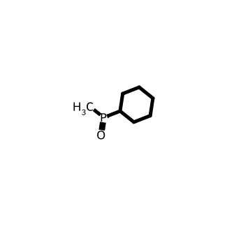 C[P](=O)C1CCCCC1